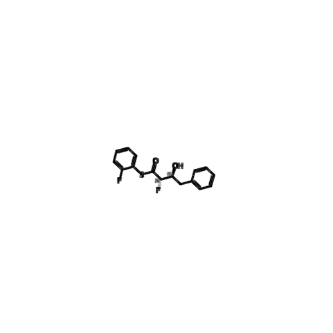 O=C(Sc1ccccc1F)[C@@H](F)[C@@H](O)Cc1ccccc1